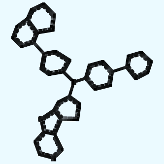 c1ccc(-c2ccc(N(c3ccc(-c4cccc5ccccc45)cc3)c3ccc4c(c3)oc3ccncc34)cc2)cc1